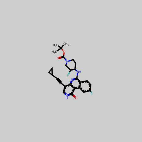 CC(C)(C)OC(=O)N1CCC(Nc2nc3c(C#CC4CC4)c[nH]c(=O)c3c3cc(F)ccc23)C(F)C1